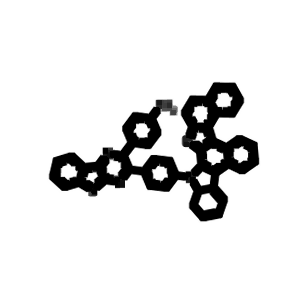 Pc1ccc(-c2nc3c(nc2-c2ccc(N4c5c(c6ccccc6c6c5oc5ccc7ccccc7c56)C5=CC=CCC54)cc2)sc2ccccc23)cc1